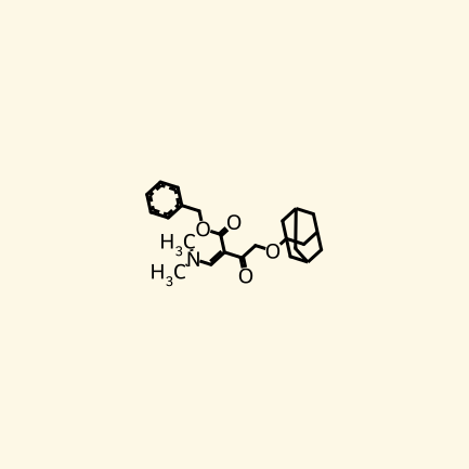 CN(C)/C=C(/C(=O)COC12CC3CC(CC(C3)C1)C2)C(=O)OCc1ccccc1